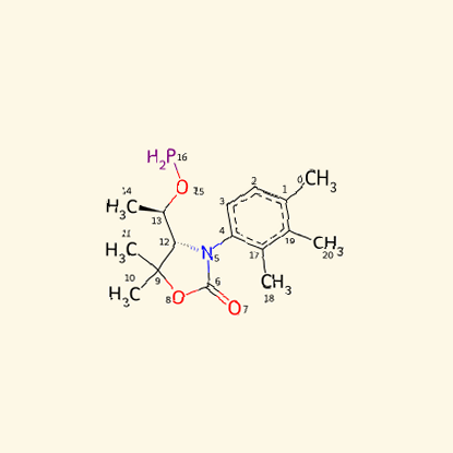 Cc1ccc(N2C(=O)OC(C)(C)[C@@H]2[C@@H](C)OP)c(C)c1C